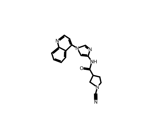 N#CN1CCC(C(=O)Nc2cn(-c3ccnc4ccccc34)cn2)C1